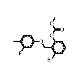 COC(=O)Oc1cccc(Br)c1COc1ccc(C)c(F)c1